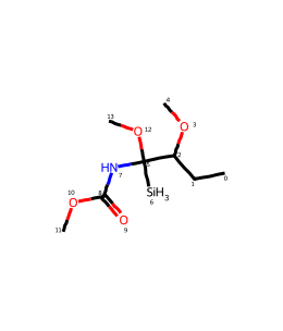 CCC(OC)C([SiH3])(NC(=O)OC)OC